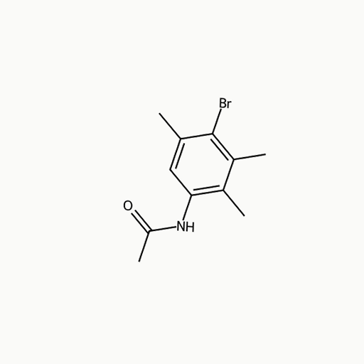 CC(=O)Nc1cc(C)c(Br)c(C)c1C